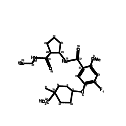 COc1cc(F)c(OC2CCC(C)(C(=O)O)CC2)cc1C(=O)NC1CCCC1C(=O)NCC(C)(C)C